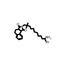 CC(C)C(N)CCCCCCCCC(C)(C)CN1C(=O)C2CCc3ccccc3C2C1=O